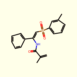 C=C(C)C(=O)N/C(=C\S(=O)(=O)c1cccc(C)c1)c1ccccc1